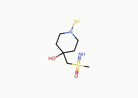 CS(=N)(=O)CC1(O)CCN(S)CC1